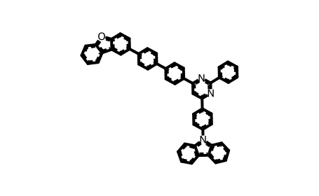 c1ccc(-c2nc(-c3ccc(-c4ccc(-c5ccc6oc7ccccc7c6c5)cc4)cc3)cc(-c3ccc(-n4c5ccccc5c5ccccc54)cc3)n2)cc1